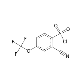 N#Cc1cc(OC(F)(F)F)ccc1S(=O)(=O)Cl